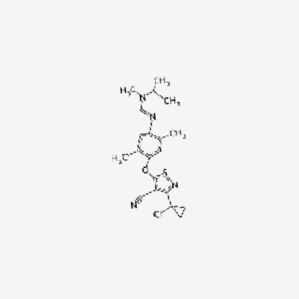 Cc1cc(Oc2snc(C3(Cl)CC3)c2C#N)c(C)cc1N=CN(C)C(C)C